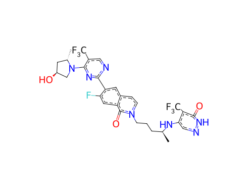 C[C@@H](CCCn1ccc2cc(-c3ncc(C(F)(F)F)c(N4C[C@@H](O)C[C@@H]4C)n3)c(F)cc2c1=O)Nc1cn[nH]c(=O)c1C(F)(F)F